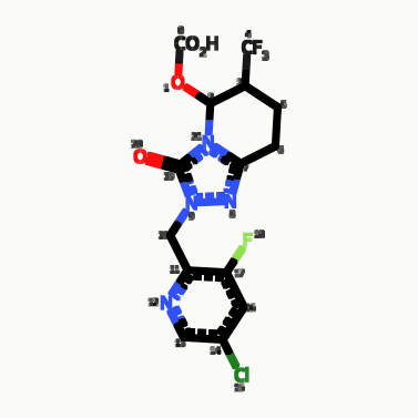 O=C(O)OC1C(C(F)(F)F)CCc2nn(Cc3ncc(Cl)cc3F)c(=O)n21